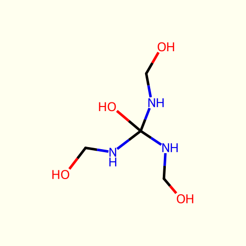 OCNC(O)(NCO)NCO